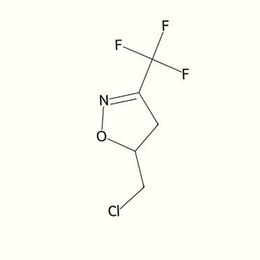 FC(F)(F)C1=NOC(CCl)C1